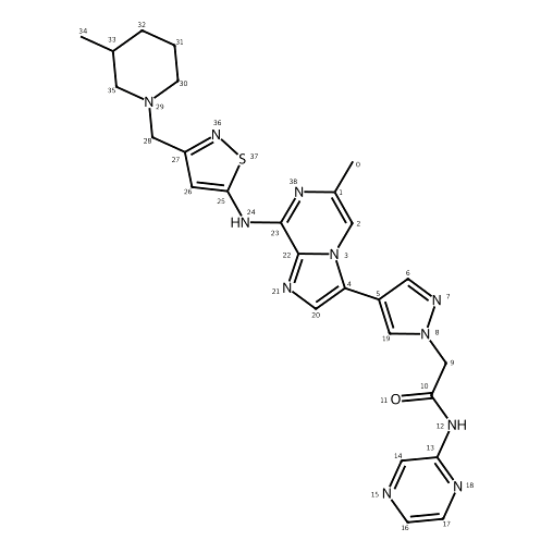 Cc1cn2c(-c3cnn(CC(=O)Nc4cnccn4)c3)cnc2c(Nc2cc(CN3CCCC(C)C3)ns2)n1